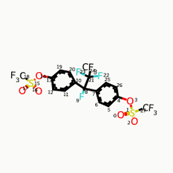 O=S(=O)(Oc1ccc(C(F)(c2ccc(OS(=O)(=O)C(F)(F)F)cc2)C(F)(F)C(F)(F)F)cc1)C(F)(F)F